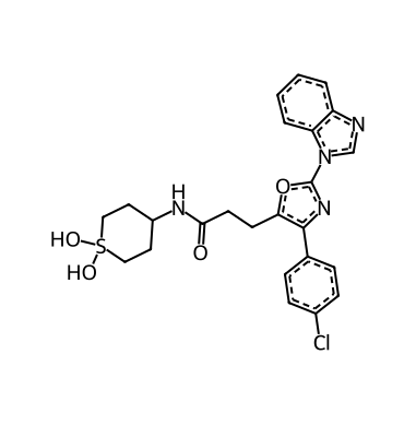 O=C(CCc1oc(-n2cnc3ccccc32)nc1-c1ccc(Cl)cc1)NC1CCS(O)(O)CC1